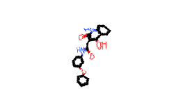 O=C(Nc1cccc(Oc2ccccc2)c1)c1c(O)c2ccccc2[nH]c1=O